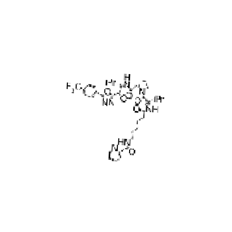 CC(C)[C@H](NC(=O)[C@@H]1CCCN1C(=O)[C@@H](NC(=O)CCCCCNC(=O)c1ccccn1)C(C)C)C(=O)c1nnc(-c2ccc(C(F)(F)F)cc2)o1